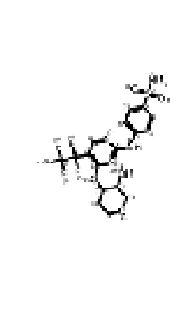 NS(=O)(=O)c1ccc(Nc2ncc(C(F)(F)C(F)(F)F)c(OC3CCOCC3O)n2)cc1